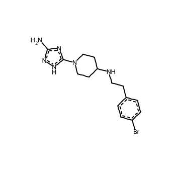 Nc1n[nH]c(N2CCC(NCCc3ccc(Br)cc3)CC2)n1